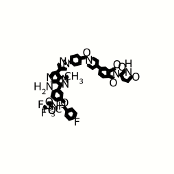 C[C@H](Oc1cc(-c2nn(C)c3c(-c4cnn(C5CCC(C(=O)N6CCC(c7ccc8c(c7)C(=O)N(C7CCC(=O)NC7=O)C8=O)CC6)CC5)c4)cnc(N)c23)ccc1NS(=O)(=O)C(F)F)c1ccc(F)cc1